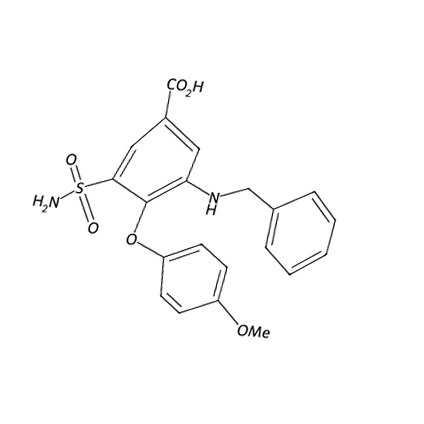 COc1ccc(Oc2c(NCc3ccccc3)cc(C(=O)O)cc2S(N)(=O)=O)cc1